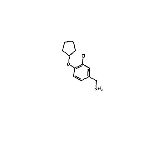 NCc1ccc(OC2CCCC2)c(Cl)c1